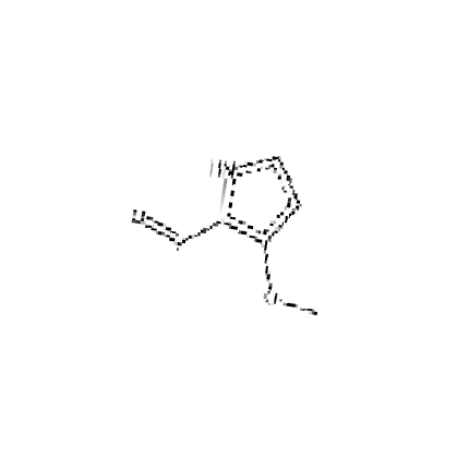 COc1cc[nH]c1[C]=O